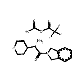 N[C@H](C(=O)N1Cc2ccccc2C1)C1CCOCC1.O=C(O)OC(=O)C(F)(F)F